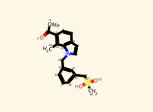 COC(=O)c1ccc2ccn(Cc3cccc(CS(C)(=O)=O)c3)c2c1C